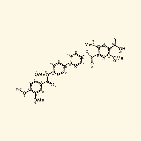 CCOc1cc(OC)c(C(=O)Oc2ccc(-c3ccc(OC(=O)c4cc(OC)c(C(C)O)cc4OC)cc3)cc2)cc1OC